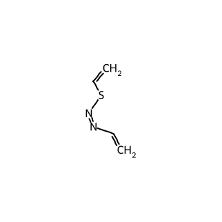 C=C/N=N\SC=C